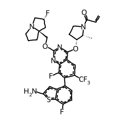 C=CC(=O)N1CC[C@@H](Oc2nc(OC[C@@]34CCCN3C[C@H](F)C4)nc3c(F)c(-c4ccc(F)c5sc(N)cc45)c(C(F)(F)F)cc23)[C@H]1C